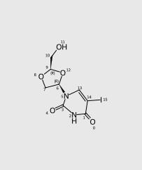 O=c1[nH]c(=O)n([C@H]2CO[C@@H](CO)O2)cc1I